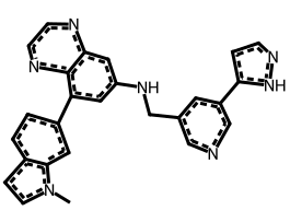 Cn1ccc2ccc(-c3cc(NCc4cncc(-c5ccn[nH]5)c4)cc4nccnc34)cc21